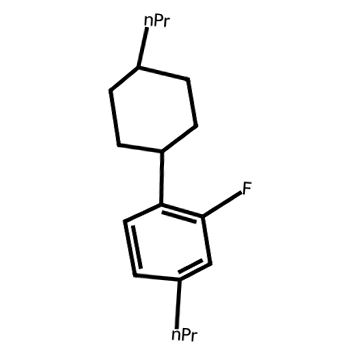 CCCc1ccc(C2CCC(CCC)CC2)c(F)c1